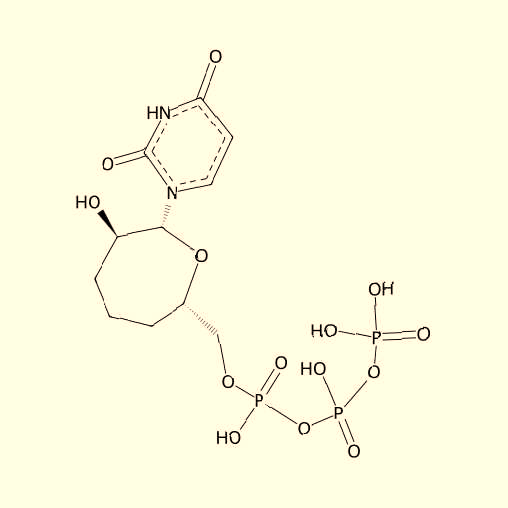 O=c1ccn([C@@H]2O[C@H](COP(=O)(O)OP(=O)(O)OP(=O)(O)O)CCC[C@H]2O)c(=O)[nH]1